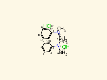 BN(C)c1ccccc1.BN(C)c1ccccc1.Cl.Cl